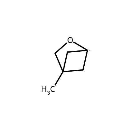 CC12CO[C](C1)C2